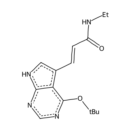 CCNC(=O)/C=C/c1c[nH]c2ncnc(OC(C)(C)C)c12